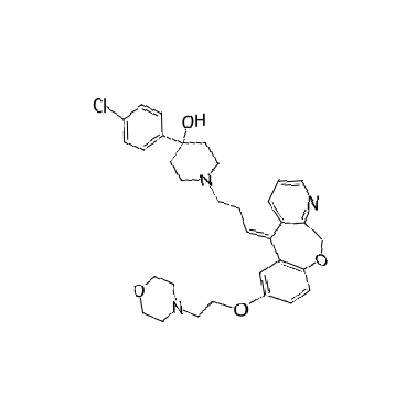 OC1(c2ccc(Cl)cc2)CCN(CCC=C2c3cc(OCCN4CCOCC4)ccc3OCc3ncccc32)CC1